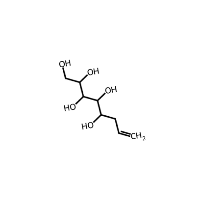 C=CCC(O)C(O)C(O)C(O)CO